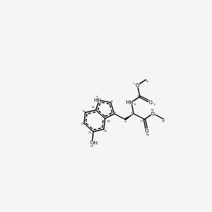 COC(=O)N[C@H](Cc1c[nH]c2ccc(O)cc12)C(=O)OC